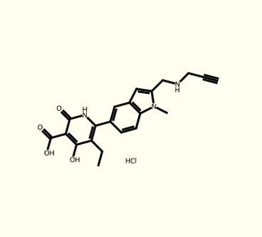 C#CCNCc1cc2cc(-c3[nH]c(=O)c(C(=O)O)c(O)c3CC)ccc2n1C.Cl